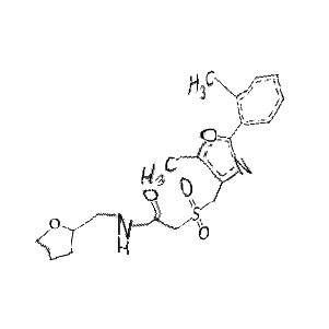 Cc1ccccc1-c1nc(CS(=O)(=O)CC(=O)NCC2CCCO2)c(C)o1